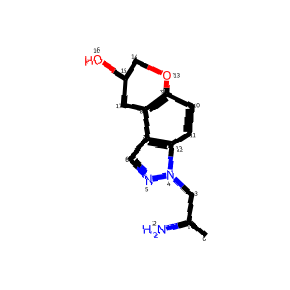 CC(N)Cn1ncc2c3c(ccc21)OCC(O)C3